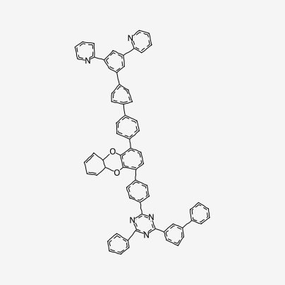 C1=CC2Oc3c(-c4ccc(-c5ccc(-c6cc(-c7ccccn7)cc(-c7ccccn7)c6)cc5)cc4)ccc(-c4ccc(-c5nc(-c6ccccc6)nc(-c6cccc(-c7ccccc7)c6)n5)cc4)c3OC2C=C1